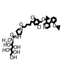 CN(C[C@@H](O)[C@H](O)[C@@H](O)[C@@H](O)CO)C(=O)NC1CCN(C(=O)CCCCc2cc(Cl)c(COC3(c4cnccc4-c4ccccc4OC4CC4)CC3)cc2Cl)CC1